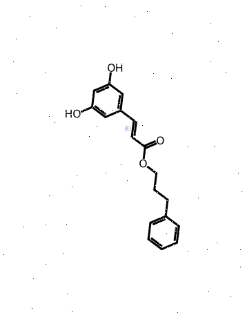 O=C(/C=C/c1cc(O)cc(O)c1)OCCCc1ccccc1